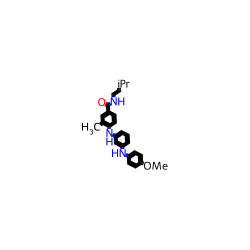 COc1ccc(Nc2cccc(Nc3ccc(C(=O)NCCC(C)C)cc3C)c2)cc1